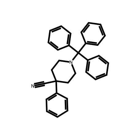 N#CC1(c2ccccc2)CCN(C(c2ccccc2)(c2ccccc2)c2ccccc2)CC1